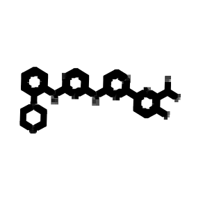 Fc1ccc(-c2nccc(Nc3ccnc(Nc4ccccc4N4CCOCC4)n3)n2)nc1C(F)F